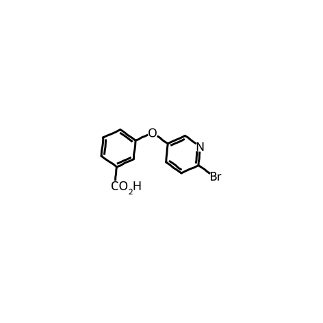 O=C(O)c1cccc(Oc2ccc(Br)nc2)c1